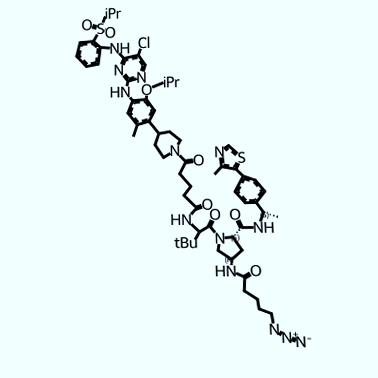 Cc1cc(Nc2ncc(Cl)c(Nc3ccccc3S(=O)(=O)C(C)C)n2)c(OC(C)C)cc1C1CCN(C(=O)CCCC(=O)NC(C(=O)N2C[C@H](NC(=O)CCCCN=[N+]=[N-])C[C@H]2C(=O)N[C@@H](C)c2ccc(-c3scnc3C)cc2)C(C)(C)C)CC1